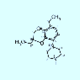 CCc1ccc(N2CCNCC2)c2c1OCC(CC)O2